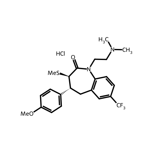 COc1ccc([C@H]2Cc3cc(C(F)(F)F)ccc3N(CCN(C)C)C(=O)[C@@H]2SC)cc1.Cl